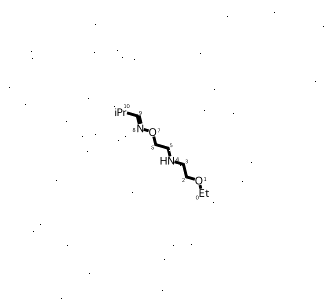 CCOCCNCCO/N=C/C(C)C